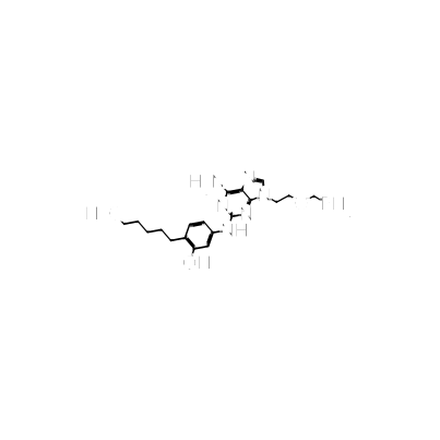 CCCCCCc1ccc(Nc2nc(N)c3ncn(CCOCP)c3n2)cc1O